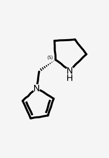 c1ccn(C[C@@H]2CCCN2)c1